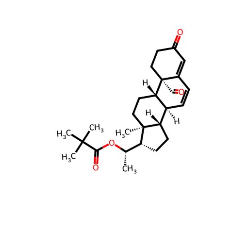 C[C@H](OC(=O)C(C)(C)C)[C@H]1CC[C@H]2[C@@H]3C=CC4=CC(=O)CC[C@]4(C=O)[C@H]3CC[C@]12C